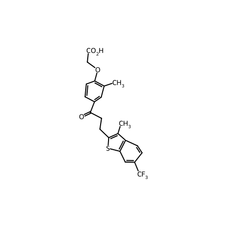 Cc1cc(C(=O)CCc2sc3cc(C(F)(F)F)ccc3c2C)ccc1OCC(=O)O